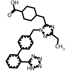 CCc1nc(CC2CCC(C(=O)O)CC2)n(Cc2ccc(-c3ccccc3-c3nnn[nH]3)cc2)n1